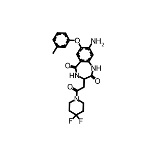 Cc1cccc(Oc2cc3c(cc2N)NC(=O)C(CC(=O)N2CCC(F)(F)CC2)NC3=O)c1